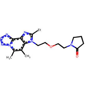 CCc1nc2c(c(C)c(C)n3nnnc23)n1CCOCCN1CCCC1=O